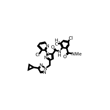 CNC(=O)c1cc(Cl)cc(C)c1NC(=O)c1cc(Cn2ncc(C3CC3)n2)nn1-c1ncccc1Cl